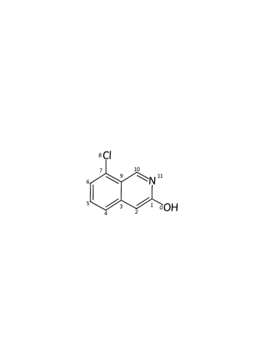 Oc1cc2cccc(Cl)c2cn1